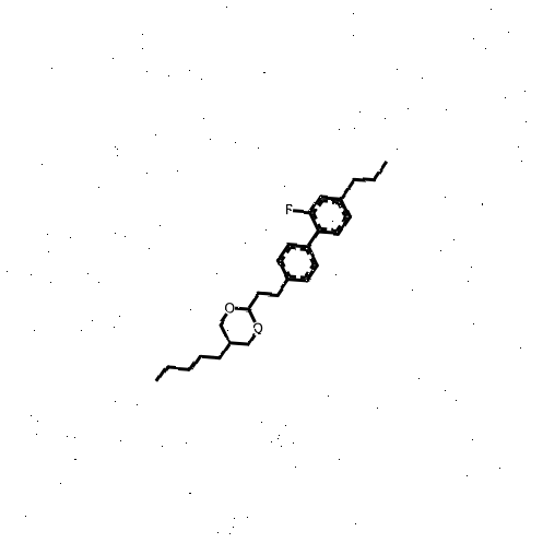 CCCCCC1COC(CCc2ccc(-c3ccc(CCC)cc3F)cc2)OC1